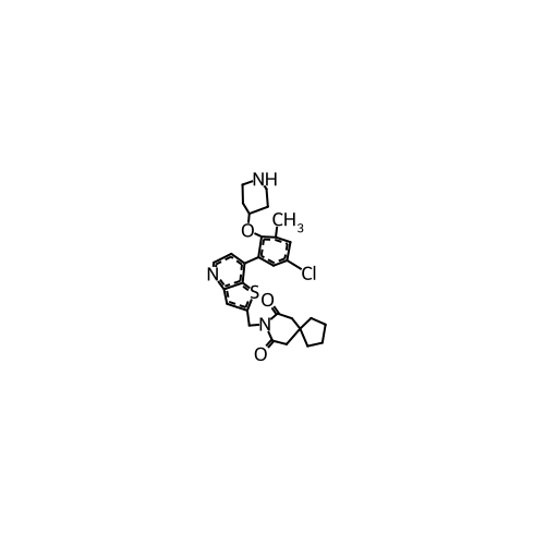 Cc1cc(Cl)cc(-c2ccnc3cc(CN4C(=O)CC5(CCCC5)CC4=O)sc23)c1OC1CCNCC1